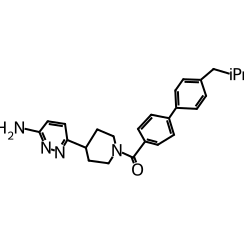 CC(C)Cc1ccc(-c2ccc(C(=O)N3CCC(c4ccc(N)nn4)CC3)cc2)cc1